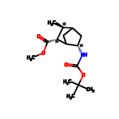 COC(=O)[C@H]1C2CC(C[C@@H]2NC(=O)OC(C)(C)C)[C@@H]1C